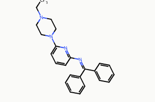 FC(F)(F)CN1CCN(c2cccc(N=C(c3ccccc3)c3ccccc3)n2)CC1